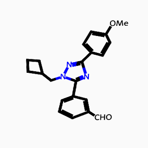 COc1ccc(-c2nc(-c3cccc(C=O)c3)n(CC3CCC3)n2)cc1